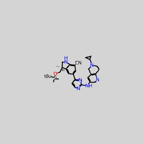 CC(C)(C)[Si](C)(C)OC[C@@]1(C)CNc2c(C#N)cc(-c3ccnc(Nc4cnc5c(c4)CN(C4CC4)CC5)n3)cc21